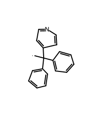 [CH2]C(c1ccccc1)(c1ccccc1)c1ccncc1